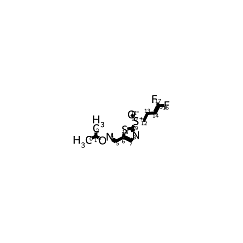 CC(C)ON=Cc1cnc([S+]([O-])CCC=C(F)F)s1